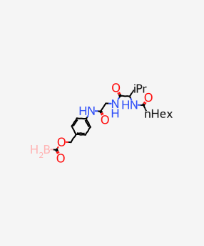 BC(=O)OCc1ccc(NC(=O)CNC(=O)C(NC(=O)CCCCCC)C(C)C)cc1